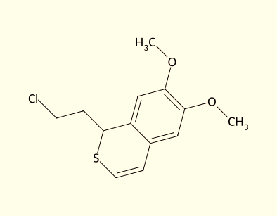 COc1cc2c(cc1OC)C(CCCl)SC=C2